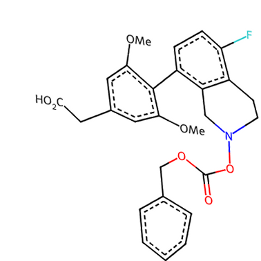 COc1cc(CC(=O)O)cc(OC)c1-c1ccc(F)c2c1CN(OC(=O)OCc1ccccc1)CC2